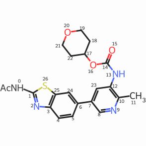 CC(=O)Nc1nc2ccc(-c3cnc(C)c(NC(=O)OC4CCOCC4)c3)cc2s1